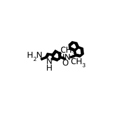 Cc1cc2cc(CN)[nH]c2cc1C(=O)NC(C)c1cccc2ccccc12